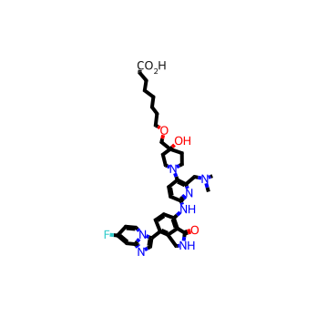 CN(C)Cc1nc(Nc2ccc(-c3cnc4cc(F)ccn34)c3c2C(=O)NC3)ccc1N1CCC(O)(COCCCCCCCC(=O)O)CC1